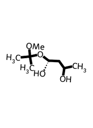 COC(C)(C)O[C@@H](O)CC(C)O